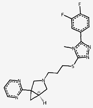 Cn1c(SCCCN2C[C@H]3CC3(c3ncccn3)C2)nnc1-c1ccc(F)c(F)c1